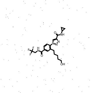 O=C(NCC(F)(F)F)c1ccc(-n2cc(C(=O)NC3CC3)nn2)c(CCCCCO)c1